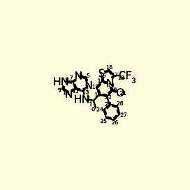 CC(Nc1ncnc2[nH]cnc12)c1cc2scc(C(F)(F)F)n2c(=O)c1-c1ccccc1